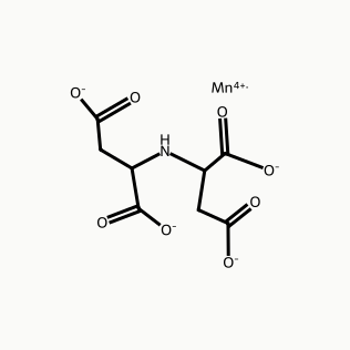 O=C([O-])CC(NC(CC(=O)[O-])C(=O)[O-])C(=O)[O-].[Mn+4]